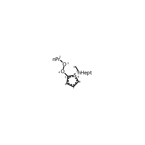 CCCCCCCC.CCCOOc1cccs1